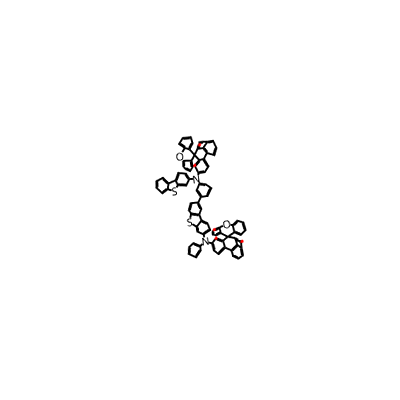 c1ccc(N(c2ccc3c(c2)C2(c4ccccc4Oc4ccccc42)c2cccc4cccc-3c24)c2ccc3c(c2)sc2ccc(-c4cccc(N(c5ccc6c(c5)C5(c7ccccc7Oc7ccccc75)c5cccc7cccc-6c57)c5ccc6c(c5)sc5ccccc56)c4)cc23)cc1